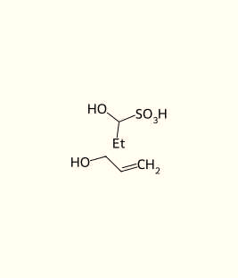 C=CCO.CCC(O)S(=O)(=O)O